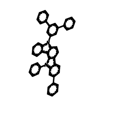 c1ccc(-c2cc(-c3ccccc3)cc(-n3c4ccccc4c4c3ccc3c5ccc(-c6ccccc6)cc5n(-c5ccccc5)c34)c2)cc1